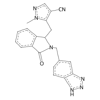 Cn1ncc(C#N)c1CC1c2ccccc2C(=O)N1Cc1ccc2[nH]nnc2c1